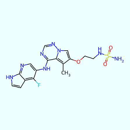 Cc1c(OCCNS(N)(=O)=O)cn2ncnc(Nc3cnc4[nH]ccc4c3F)c12